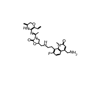 C=CC1=C(/N=C(\C)N2CC(CNCCc3c(F)ccc4c(CN)cc(=O)n(C)c34)OC2=O)NC(=C)CO1